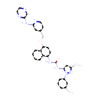 CC(C)c1cccc(-n2nc(C(C)(C)C)cc2NC(=O)Nc2ccc(OCc3ccnc(Nc4cnccn4)c3)c3ccccc23)c1